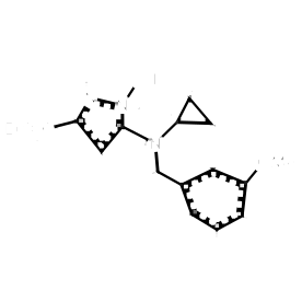 CCOC(=O)c1cc(N(Cc2cccc(OC)c2)C2CC2)n(C)n1